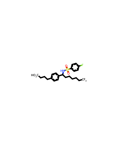 O=C(O)CCCc1ccc(C(CCCCCC(F)(F)F)NS(=O)(=O)c2ccc(F)cc2)cc1